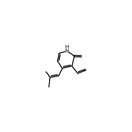 C=CC1=C(C=C(C)C)C=CNC1=C